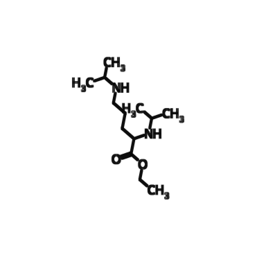 CCOC(=O)C(CCCNC(C)C)NC(C)C